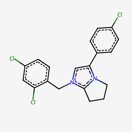 Clc1ccc(-c2c[n+](Cc3ccc(Cl)cc3Cl)c3n2CCC3)cc1